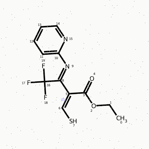 CCOC(=O)/C(=C\S)C(=Nc1ccccn1)C(F)(F)F